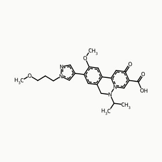 COCCCn1cc(-c2cc3c(cc2OC)-c2cc(=O)c(C(=O)O)cn2N(C(C)C)C3)cn1